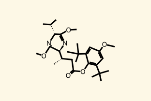 COC1=N[C@H](C(C)C)C(OC)=N[C@H]1[C@@H](C)CC(=O)Oc1c(C(C)(C)C)cc(OC)cc1C(C)(C)C